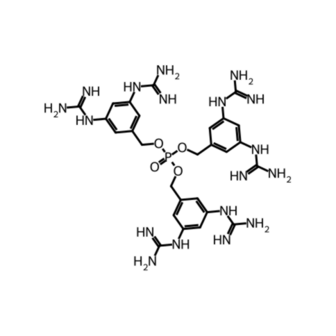 N=C(N)Nc1cc(COP(=O)(OCc2cc(NC(=N)N)cc(NC(=N)N)c2)OCc2cc(NC(=N)N)cc(NC(=N)N)c2)cc(NC(=N)N)c1